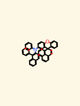 c1ccc(-c2c(N(c3ccccc3)c3ccc4c(c3)C3(c5ccccc5O4)c4ccccc4-c4cccc5cccc3c45)ccc3ccccc23)cc1